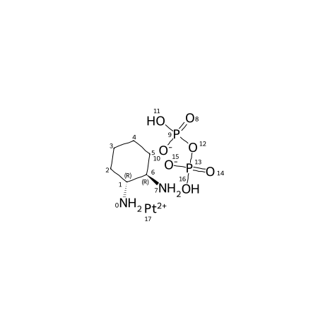 N[C@@H]1CCCC[C@H]1N.O=P([O-])(O)OP(=O)([O-])O.[Pt+2]